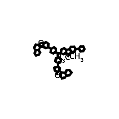 CC1(C)c2cc(-c3ccccc3)ccc2-c2ccc(C(c3ccc(-c4ccc5oc6ccc7ccccc7c6c5c4)cc3)c3ccc(-c4ccc5oc6ccc7ccccc7c6c5c4)cc3)cc21